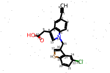 C#Cc1ccc2c(c1)c(CC(=O)O)cn2Cc1csc2ccc(Cl)cc12